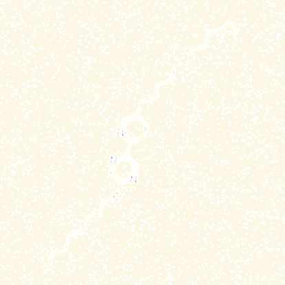 CCCCCCCCOc1cnc(-c2ccc(CCCCCCCCCC3CC3)cn2)cn1